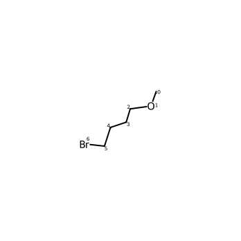 [CH2]OCCCCBr